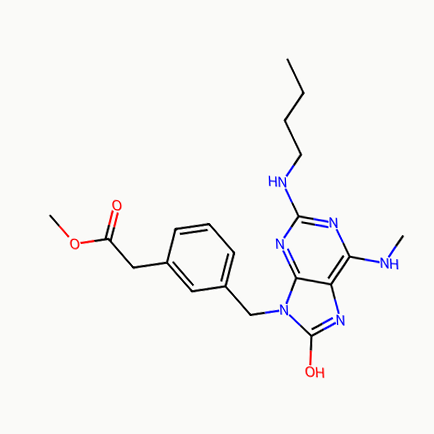 CCCCNc1nc(NC)c2nc(O)n(Cc3cccc(CC(=O)OC)c3)c2n1